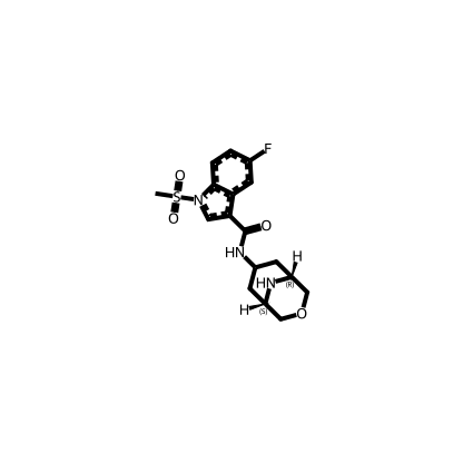 CS(=O)(=O)n1cc(C(=O)NC2C[C@H]3COC[C@@H](C2)N3)c2cc(F)ccc21